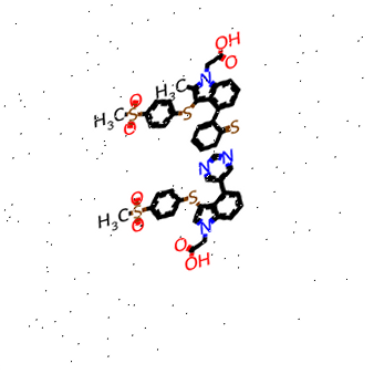 CS(=O)(=O)c1ccc(Sc2cn(CC(=O)O)c3cccc(-c4cncnc4)c23)cc1.Cc1c(Sc2ccc(S(C)(=O)=O)cc2)c2c(C3=CC=CCC3=S)cccc2n1CC(=O)O